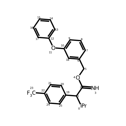 CC(C)C(C(=N)OCc1cccc(Oc2ccccc2)c1)c1ccc(C(F)(F)F)cc1